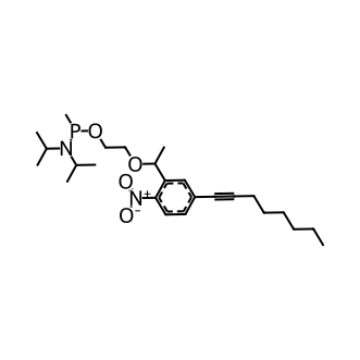 CCCCCCC#Cc1ccc([N+](=O)[O-])c(C(C)OCCOP(C)N(C(C)C)C(C)C)c1